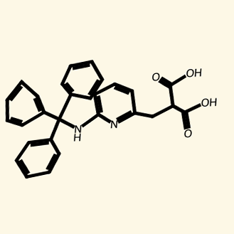 O=C(O)C(Cc1cccc(NC(c2ccccc2)(c2ccccc2)c2ccccc2)n1)C(=O)O